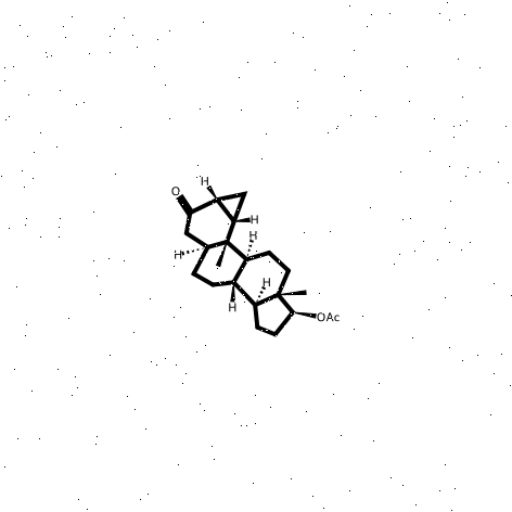 CC(=O)O[C@H]1CC[C@H]2[C@@H]3CC[C@H]4CC(=O)[C@@H]5C[C@@H]5[C@]4(C)[C@H]3CC[C@]12C